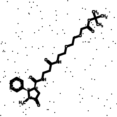 CN1C(=O)C[C@H](C(=O)NCCC(=O)NCCOCCOCC(=O)OC(C)(C)C)[C@H]1c1cccnc1